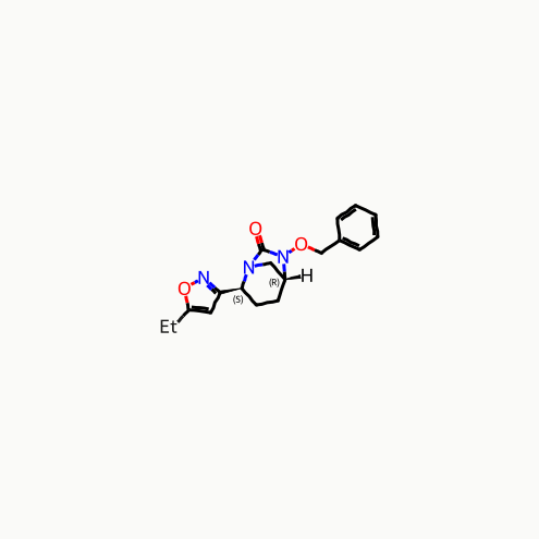 CCc1cc([C@@H]2CC[C@@H]3CN2C(=O)N3OCc2ccccc2)no1